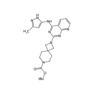 Cc1cc(Nc2nc(N3CC4(CCN(C(=O)OC(C)(C)C)CC4)C3)nc3ncccc23)[nH]n1